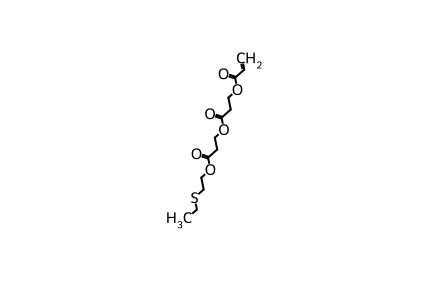 C=CC(=O)OCCC(=O)OCCC(=O)OCCSCC